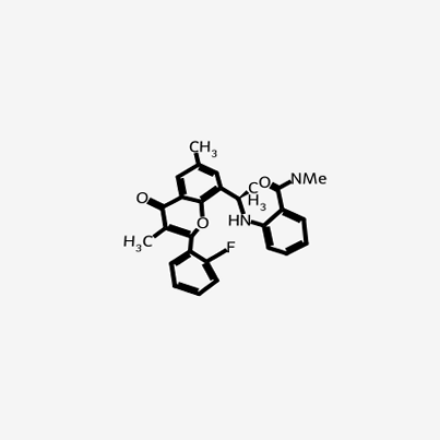 CNC(=O)c1ccccc1N[C@H](C)c1cc(C)cc2c(=O)c(C)c(-c3ccccc3F)oc12